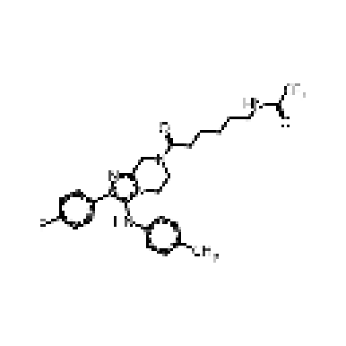 Cc1ccc(Nc2c(-c3ccc(F)cc3)nc3n2CCN(C(=O)CCCCCNC(=O)C(F)(F)F)C3)cc1